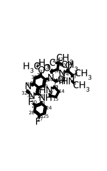 CN[C@@H](C)C(=O)N[C@H](C(=O)N(C(=O)[C@@H]1CCCN1)c1cc2c(Nc3ccc(F)cc3F)ncnc2cc1OC)C(C)(C)C